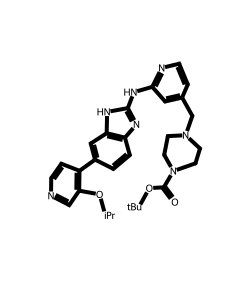 CC(C)Oc1cnccc1-c1ccc2nc(Nc3cc(CN4CCN(C(=O)OC(C)(C)C)CC4)ccn3)[nH]c2c1